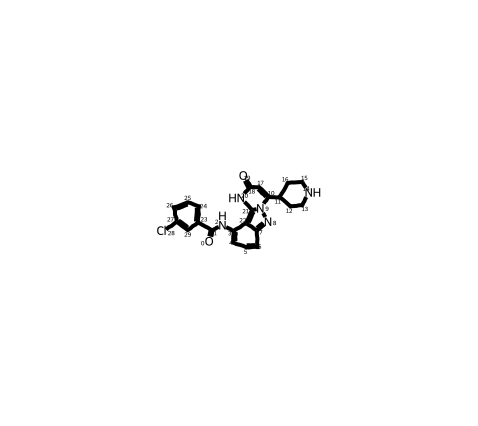 O=C(Nc1cccc2nn3c(C4CCNCC4)cc(=O)[nH]c3c12)c1cccc(Cl)c1